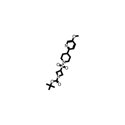 COc1ccc(C2CCN(S(=O)(=O)C3CN(C(=O)OC(C)(C)C)C3)CC2)nc1